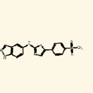 CS(=O)(=O)c1ccc(-c2cnc(Nc3ccc4[nH]ncc4c3)o2)cc1